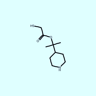 CC(C)(OC(=O)CS)C1CCNCC1